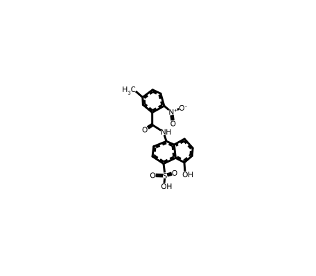 Cc1ccc([N+](=O)[O-])c(C(=O)Nc2ccc(S(=O)(=O)O)c3c(O)cccc23)c1